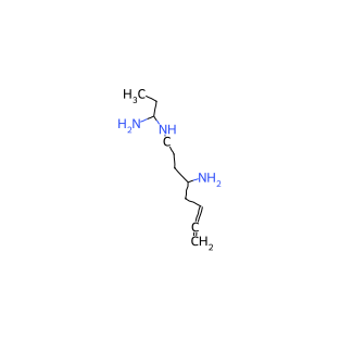 C=C=CCC(N)CCCNC(N)CC